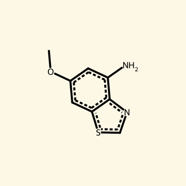 COc1cc(N)c2ncsc2c1